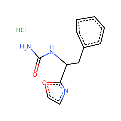 Cl.NC(=O)NC(Cc1ccccc1)c1ncco1